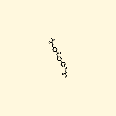 C=CC(=O)OCOc1ccc(-c2ccc(OC(=O)c3ccc(COC(=O)C(=C)C)cc3)cc2)cc1